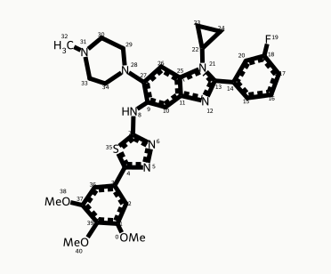 COc1cc(-c2nnc(Nc3cc4nc(-c5cccc(F)c5)n(C5CC5)c4cc3N3CCN(C)CC3)s2)cc(OC)c1OC